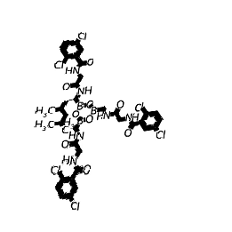 CC(C)CC(C)C[C@H](NC(=O)CNC(=O)c1cc(Cl)c#cc1Cl)B1OB(CNC(=O)CNC(=O)c2cc(Cl)ccc2Cl)OB(CNC(=O)CNC(=O)c2cc(Cl)ccc2Cl)O1